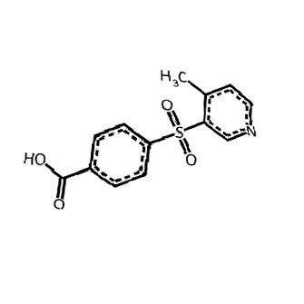 Cc1ccncc1S(=O)(=O)c1ccc(C(=O)O)cc1